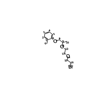 Cc1ccccc1OCC(C)OCCOCCBr